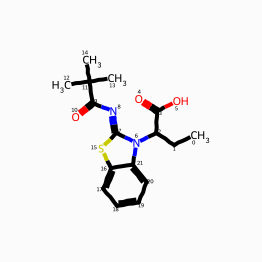 CCC(C(=O)O)n1c(=NC(=O)C(C)(C)C)sc2ccccc21